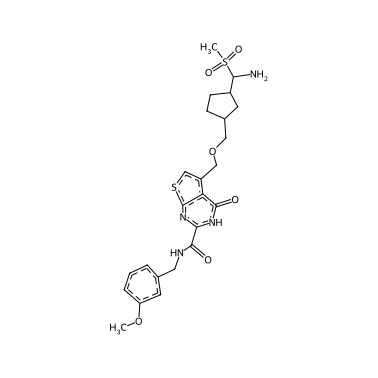 COc1cccc(CNC(=O)c2nc3scc(COCC4CCC(C(N)S(C)(=O)=O)C4)c3c(=O)[nH]2)c1